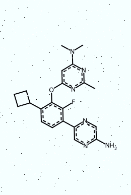 Cc1nc(Oc2c(C3CCC3)ccc(-c3cnc(N)cn3)c2F)cc(N(C)C)n1